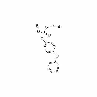 CCCCCSP(=O)(OCC)Oc1ccc(Oc2ccccc2)cc1